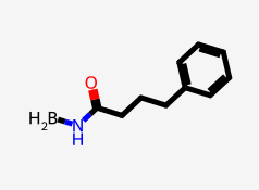 BNC(=O)CCCc1ccccc1